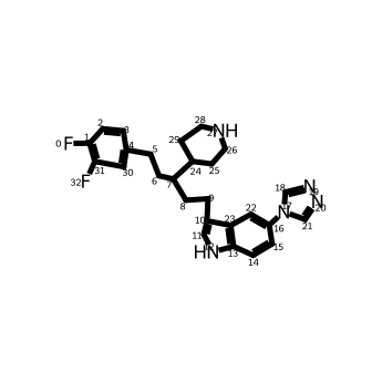 Fc1ccc(CCC(CCc2c[nH]c3ccc(-n4cnnc4)cc23)C2CCNCC2)cc1F